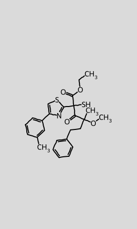 CCOC(=O)C(S)(C(=O)C(C)(CCc1ccccc1)OC)c1nc(-c2cccc(C)c2)cs1